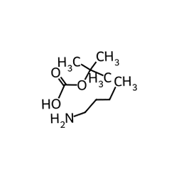 CC(C)(C)OC(=O)O.CCCCN